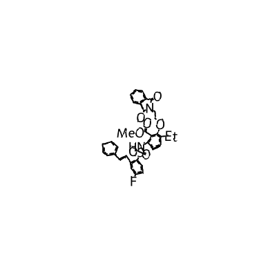 CCc1ccc(NS(=O)(=O)c2ccc(F)cc2C=Cc2ccccc2)c(C(=O)OC)c1OCCN1C(=O)c2ccccc2C1=O